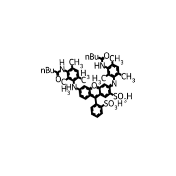 CCCCC(=O)Nc1c(C)cc(C)c(/N=c2\cc3oc4cc(Nc5c(C)cc(C)c(NC(=O)CCCC)c5C)ccc4c(-c4ccccc4S(=O)(=O)O)c-3cc2S(=O)(=O)O)c1C